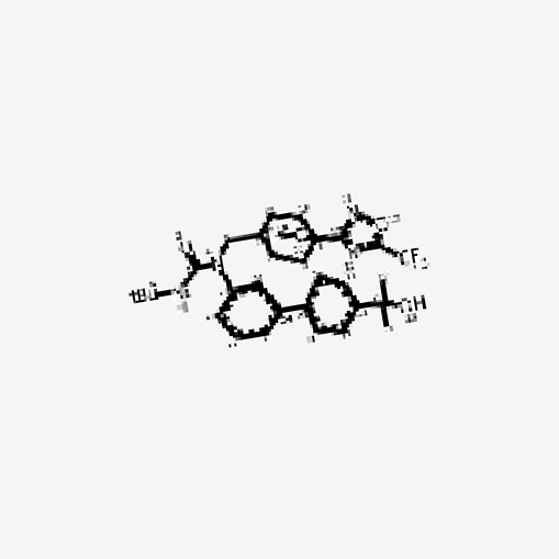 CC(C)(C)NC(=O)N(CC12CCC(c3noc(C(F)(F)F)n3)(CC1)CC2)c1cccc(-c2ccc(C(C)(C)O)cc2)c1